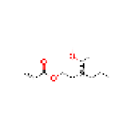 C=C(C)C(=O)OCC[SiH](CCC)C(C)OC